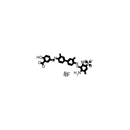 Cc1cc(-c2ccc(N=Nc3c(N)c(C)cc(S(=O)(=O)[O-])c3N)c(C)c2)ccc1N=Nc1ccc(O)c(C(=O)[O-])c1.[Na+].[Na+]